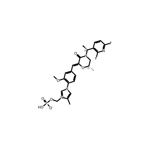 COc1cc(C=C2O[C@@H](C)CN([C@@H](C)c3ccc(F)nc3F)C2=O)ccc1-n1cc(C)[n+](COP(=O)([O-])O)c1